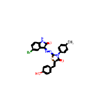 Cc1ccc(N2C(=O)C(=Cc3ccc(O)cc3)SC2=NN=C2C(=O)Nc3ccc(Br)cc32)cc1